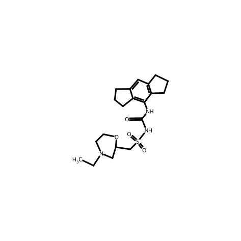 CCN1CCOC(CS(=O)(=O)NC(=O)Nc2c3c(cc4c2CCC4)CCC3)C1